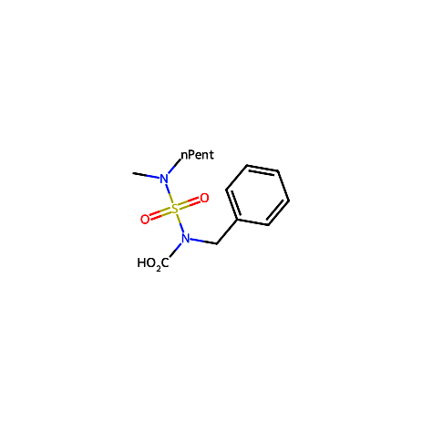 CCCCCN(C)S(=O)(=O)N(Cc1ccccc1)C(=O)O